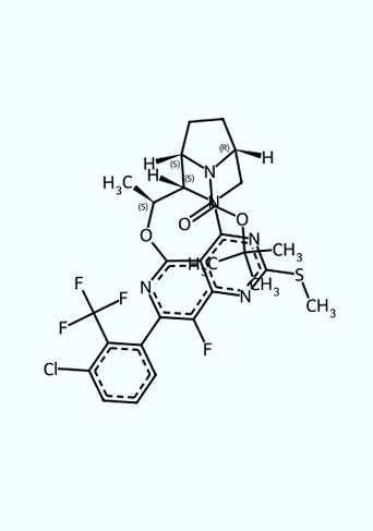 CSc1nc2c3c(nc(-c4cccc(Cl)c4C(F)(F)F)c(F)c3n1)O[C@@H](C)[C@@H]1[C@@H]3CC[C@H](CN21)N3C(=O)OC(C)(C)C